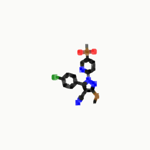 CSc1nn(-c2ccc(S(C)(=O)=O)cn2)c(-c2ccc(Cl)cc2)c1C#N